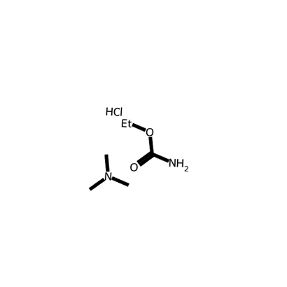 CCOC(N)=O.CN(C)C.Cl